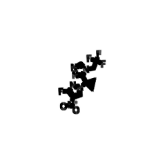 O=[N+]([O-])c1cn(C2(c3nncn3CC(F)(F)F)CC2)nc1F